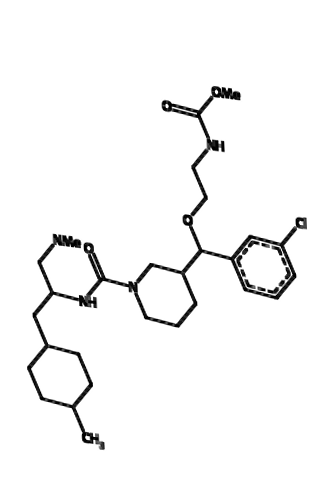 CNCC(CC1CCC(C)CC1)NC(=O)N1CCCC(C(OCCNC(=O)OC)c2cccc(Cl)c2)C1